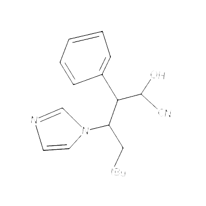 CC(C)(C)CC(C(c1ccccc1)C(O)C#N)n1ccnc1